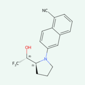 N#Cc1cccc2cc(N3CCC[C@H]3[C@@H](O)C(F)(F)F)ccc12